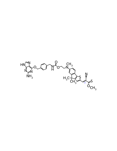 COC(=S)/C(C#N)=C/c1cc2c(s1)-c1ccc(N(C)CCOC(=O)NCc3ccc(COc4nc(N)nc5[nH]cnc45)cc3)cc1C2(C)C